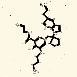 C=CCNC(=O)c1nn(CC2(n3ccc4cc(CC=C)cnc43)CCCC2)cc(OCCCC)c1=O